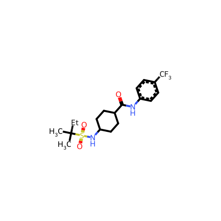 CCC(C)(C)S(=O)(=O)NC1CCC(C(=O)Nc2ccc(C(F)(F)F)cc2)CC1